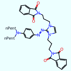 CCCCCN(CCCCC)c1ccc(/N=N/c2n(CCCN3C(=O)c4ccccc4C3=O)cc[n+]2CCCN2C(=O)c3ccccc3C2=O)cc1